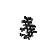 CC1C2Cc3c(N(C)C)ccc(O)c3C(=O)C2=C(O)C2C(=O)C(C(N)=O)=C(O)CC21